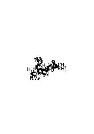 CNC1CCN(C(=O)c2c(C)cc(C(F)(F)F)nc2-c2ccnc3cc(CN4C(=O)C5C(C4=O)C5(C)C)sc23)C1.Cl.Cl